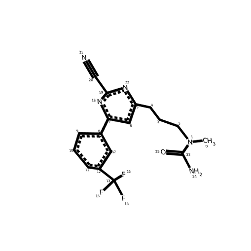 CN(CCCc1cc(-c2cccc(C(F)(F)F)c2)nc(C#N)n1)C(N)=O